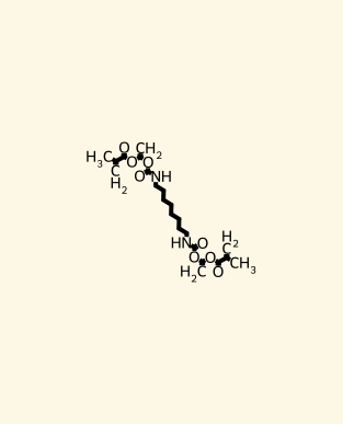 C=C(OC(=O)NCCCCCCCCNC(=O)OC(=C)OC(=O)C(=C)C)OC(=O)C(=C)C